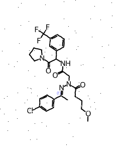 COCCCC(=O)N(CC(=O)NC(C(=O)N1CCCC1)c1cccc(C(F)(F)F)c1)/N=C(\C)c1ccc(Cl)cc1